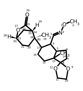 CON=CC1C2CCC3(OCCO3)C2(C)CCC1[C@@]1(C)CC[C@H]2C[C@@H]1C(=O)O2